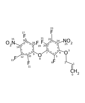 C=CCOc1c(F)c(Oc2c(F)c(F)c([N+](=O)[O-])c(F)c2F)c(F)c(F)c1[N+](=O)[O-]